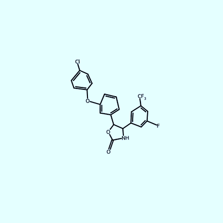 O=C1NC(c2cc(F)cc(C(F)(F)F)c2)C(c2cccc(Oc3ccc(Cl)cc3)c2)O1